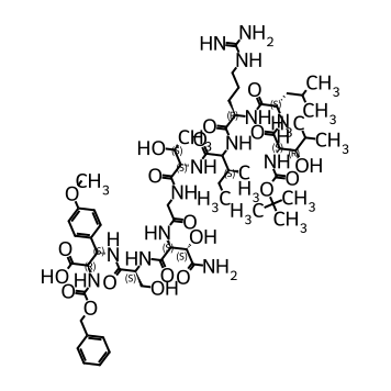 CC[C@H](C)C(NC(=O)[C@@H](CCCNC(=N)N)NC(=O)[C@H](CC(C)C)NC(=O)[C@@H](NC(=O)OC(C)(C)C)[C@H](O)C(C)C)C(=O)N[C@H](C(=O)NCC(=O)N[C@H](C(=O)N[C@@H](CO)C(=O)N[C@@H](c1ccc(OC)cc1)[C@@H](NC(=O)OCc1ccccc1)C(=O)O)[C@H](O)C(N)=O)[C@H](C)O